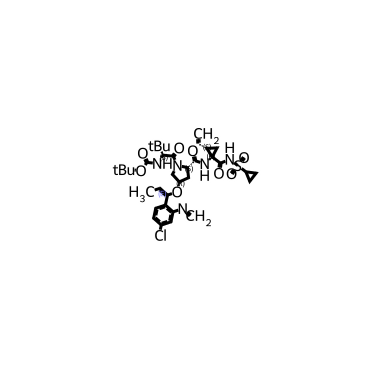 C=C[C@@H]1C[C@]1(NC(=O)[C@@H]1C[C@@H](O/C(=C/C)c2ccc(Cl)cc2N=C)CN1C(=O)[C@@H](NC(=O)OC(C)(C)C)C(C)(C)C)C(=O)NS(=O)(=O)C1CC1